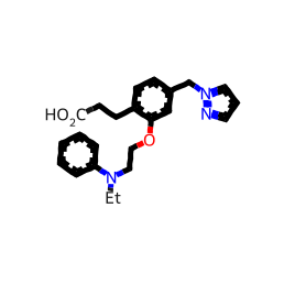 CCN(CCOc1cc(Cn2cccn2)ccc1CCC(=O)O)c1ccccc1